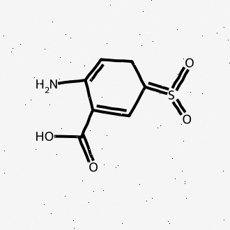 NC1=CCC(=S(=O)=O)C=C1C(=O)O